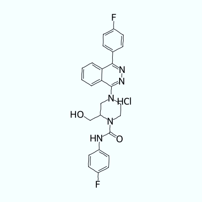 Cl.O=C(Nc1ccc(F)cc1)N1CCN(c2nnc(-c3ccc(F)cc3)c3ccccc23)CC1CO